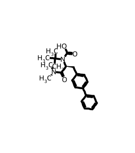 CN(C)C(=O)[C@H](Cc1ccc(-c2ccccc2)cc1)N(C(=O)O)C(C)(C)C